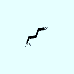 N/C=C/[C]=O